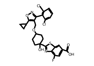 O=C(O)c1cc(F)c2nc(C3(O)CCC(OCc4c(-c5c(Cl)cccc5Cl)noc4C4CC4)CC3)sc2c1